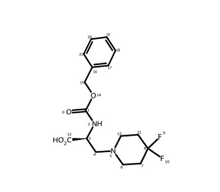 O=C(N[C@@H](CN1CCC(F)(F)CC1)C(=O)O)OCc1ccccc1